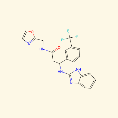 O=C(CC(Nc1nc2ccccc2[nH]1)c1cccc(C(F)(F)F)c1)NCc1ncco1